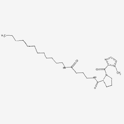 CCCCCCCCCCCCNC(=O)CCCNC(=O)C1CCCN1C(=O)c1nccn1C